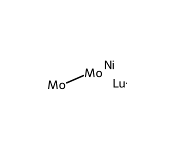 [Lu].[Mo][Mo].[Ni]